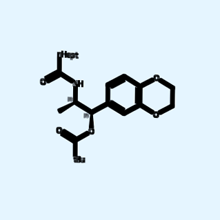 CCCCCCCC(=O)N[C@H](C)[C@H](OC(=O)C(C)(C)C)c1ccc2c(c1)OCCO2